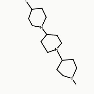 CN1CCC(N2CCC(N3CCC(I)CC3)CC2)CC1